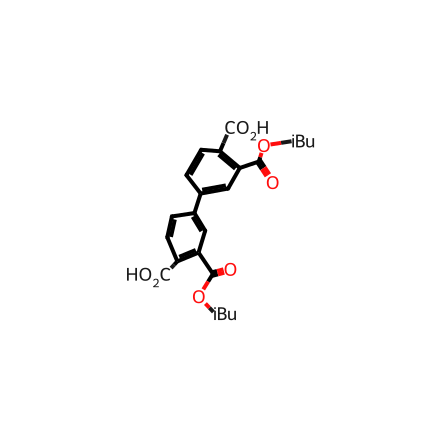 CCC(C)OC(=O)c1cc(-c2ccc(C(=O)O)c(C(=O)OC(C)CC)c2)ccc1C(=O)O